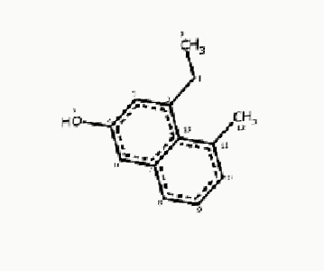 CCc1cc(O)cc2cccc(C)c12